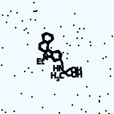 CCn1c2cc(CNC(C)(CO)CO)ccc2c2c3ccccc3ccc21